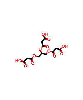 O=C(O)CC(=O)OCC(COC(=O)CC(=O)O)OC(=O)CC(=O)O